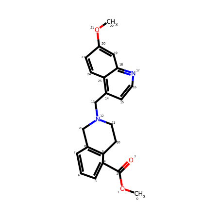 COC(=O)c1cccc2c1CCN(Cc1ccnc3cc(OC)ccc13)C2